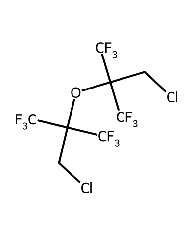 FC(F)(F)C(CCl)(OC(CCl)(C(F)(F)F)C(F)(F)F)C(F)(F)F